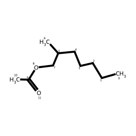 CCCCCC(C)COC(C)=O